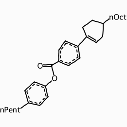 CCCCCCCCC1CC=C(c2ccc(C(=O)Oc3ccc(CCCCC)cc3)cc2)CC1